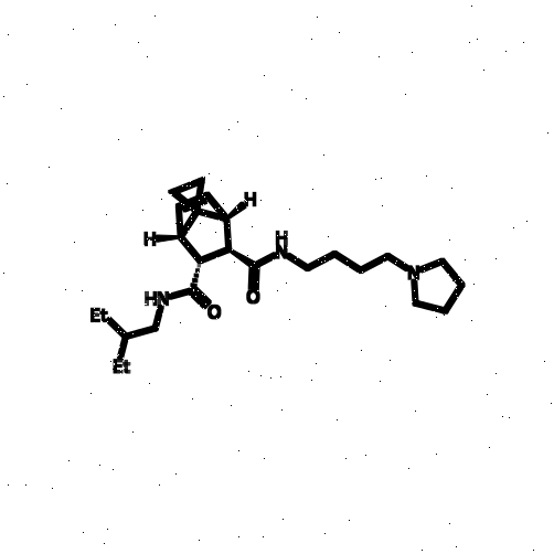 CCC(CC)CNC(=O)[C@H]1[C@H](C(=O)NCCCCN2CCCC2)[C@H]2C=C[C@@H]1C21CC1